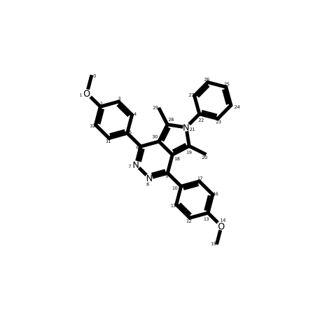 COc1ccc(-c2nnc(-c3ccc(OC)cc3)c3c(C)n(-c4ccccc4)c(C)c23)cc1